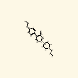 CCCc1ccc(-c2cnc([C@H]3CC[C@H](CCC)CC3)nc2F)cc1